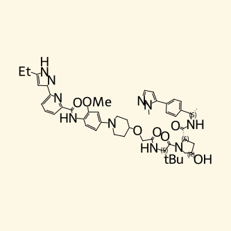 CCc1cc(-c2cccc(C(=O)Nc3ccc(N4CCC(OCC(=O)N[C@H](C(=O)N5C[C@H](O)C[C@H]5C(=O)N[C@@H](C)c5ccc(-c6ccnn6C)cc5)C(C)(C)C)CC4)cc3OC)n2)n[nH]1